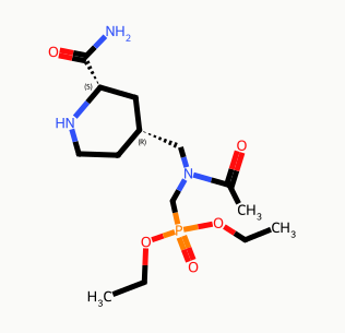 CCOP(=O)(CN(C[C@@H]1CCN[C@H](C(N)=O)C1)C(C)=O)OCC